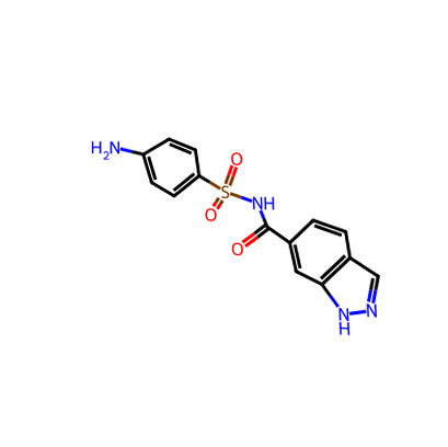 Nc1ccc(S(=O)(=O)NC(=O)c2ccc3cn[nH]c3c2)cc1